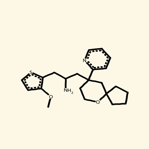 COc1ccsc1CC(N)CC1(c2ccccn2)CCOC2(CCCC2)C1